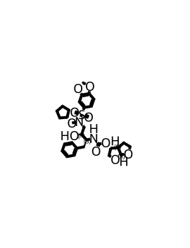 O=C(N[C@@H](Cc1ccccc1)[C@H](O)CN(OC1CCCC1)S(=O)(=O)c1ccc2c(c1)OCO2)OC1CO[C@H]2OCC[C@@H]12